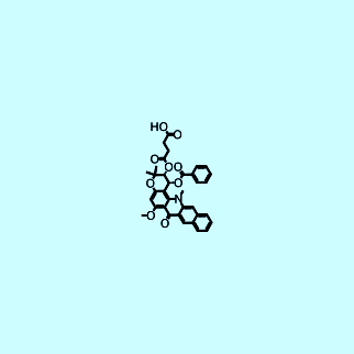 COc1cc2c(c3c1c(=O)c1cc4ccccc4cc1n3C)[C@H](OC(=O)c1ccccc1)[C@H](OC(=O)CCC(=O)O)C(C)(C)O2